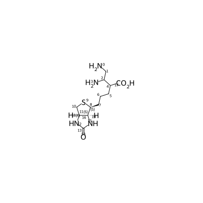 NCC(N)C(CCC[C@@H]1SC[C@@H]2NC(=O)N[C@@H]21)C(=O)O